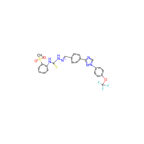 CS(=O)(=O)c1ccccc1NC(=S)N/N=C/c1ccc(-c2ncn(-c3ccc(OC(F)(F)F)cc3)n2)cc1